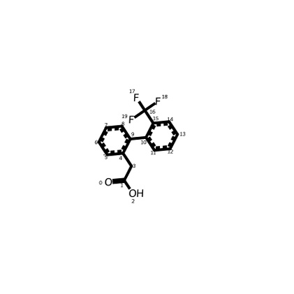 O=C(O)Cc1[c]cccc1-c1ccccc1C(F)(F)F